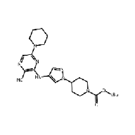 CC(C)(C)OC(=O)N1CCC(n2cc(Nc3nc(N4CCCCC4)cnc3C#N)cn2)CC1